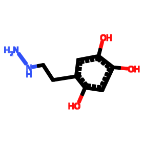 NNCCc1cc(O)c(O)cc1O